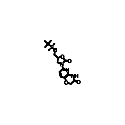 CC(C)(C)[Si](C)(C)OCC1CN(c2ccc3c(n2)NC(=O)CO3)C(=O)O1